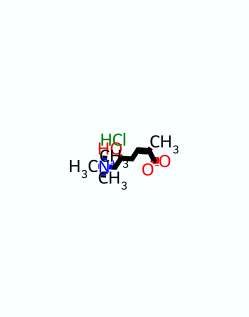 CC(=CCC(O)C[N+](C)(C)C)C(=O)[O-].Cl